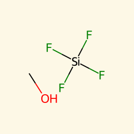 CO.F[Si](F)(F)F